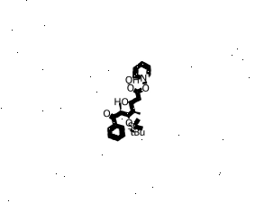 C[C@@H]([C@H](O[Si](C)(C)C(C)(C)C)[C@H](C)C(=O)c1ccccc1)[C@H](O)CC(OO)O[n+]1ccccc1